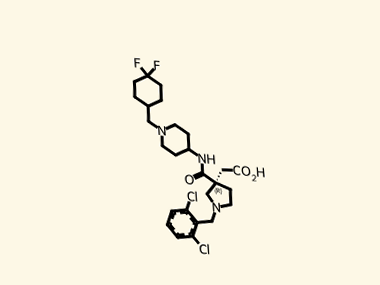 O=C(O)C[C@]1(C(=O)NC2CCN(CC3CCC(F)(F)CC3)CC2)CCN(Cc2c(Cl)cccc2Cl)C1